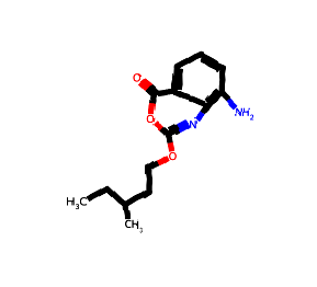 CCC(C)CCOc1nc2c(N)cccc2c(=O)o1